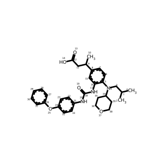 CC(C)CN(c1ccc(C(C)CC(=O)O)cc1NC(=O)Nc1ccc(Oc2ccccc2)cc1)C1CCOCC1